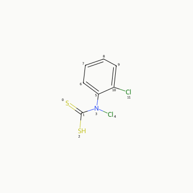 S=C(S)N(Cl)c1ccccc1Cl